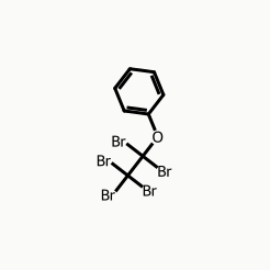 BrC(Br)(Br)C(Br)(Br)Oc1ccccc1